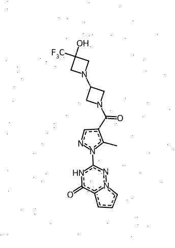 Cc1c(C(=O)N2CC(N3CC(O)(C(F)(F)F)C3)C2)cnn1-c1nn2cccc2c(=O)[nH]1